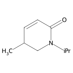 CC1C=CC(=O)N(C(C)C)C1